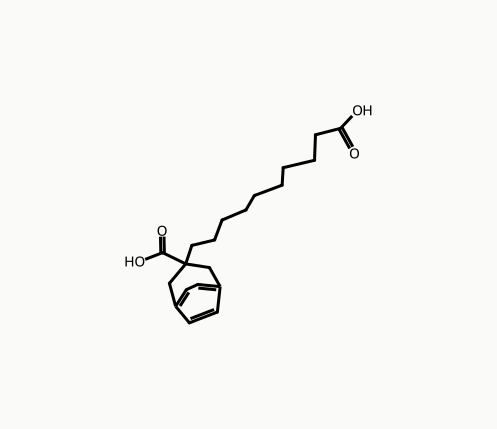 O=C(O)CCCCCCCCCC1(C(=O)O)Cc2ccc(cc2)C1